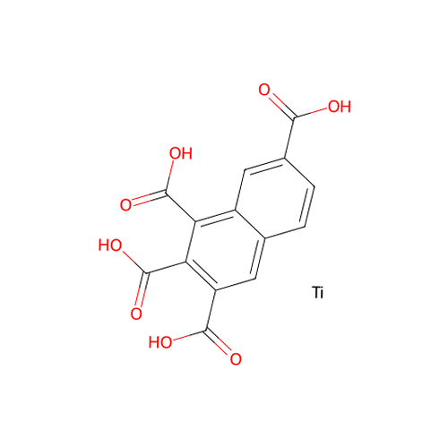 O=C(O)c1ccc2cc(C(=O)O)c(C(=O)O)c(C(=O)O)c2c1.[Ti]